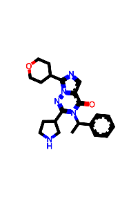 CC(c1ccccc1)n1c(C2CCNC2)nn2c(C3CCOCC3)ncc2c1=O